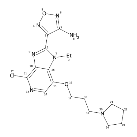 CCn1c(-c2nonc2N)nc2c(Cl)ncc(OCCCN3CCCC3)c21